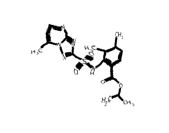 Cc1ccc(C(=O)OC(C)C)c(NS(=O)(=O)c2nc3nccc(C)n3n2)c1C